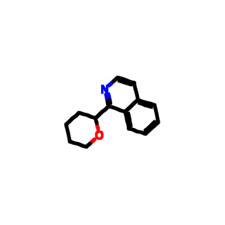 c1ccc2c(C3CCCCO3)nccc2c1